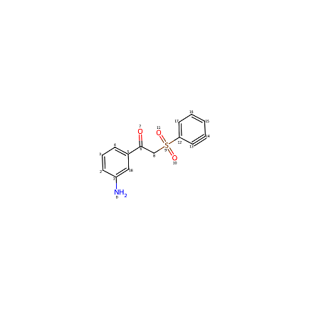 Nc1cccc(C(=O)CS(=O)(=O)c2c#cccc2)c1